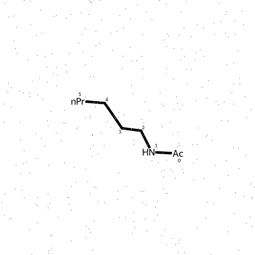 [CH2]C(=O)NCCCCCC